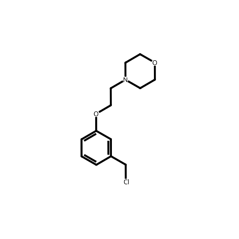 ClCc1cccc(OCCN2CCOCC2)c1